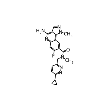 CN(Cc1ccc(C2CC2)nn1)C(=O)c1cc2c(cc1F)nc(N)c1cnn(C)c12